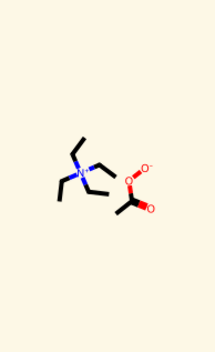 CC(=O)O[O-].CC[N+](CC)(CC)CC